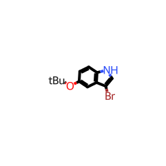 CC(C)(C)Oc1ccc2[nH]cc(Br)c2c1